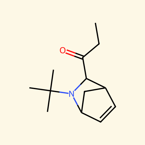 CCC(=O)C1C2C=CC(C2)N1C(C)(C)C